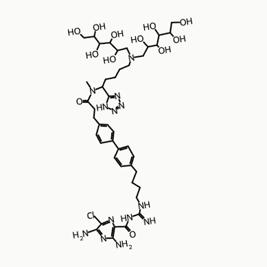 CN(C(=O)CCc1ccc(-c2ccc(CCCCNC(=N)NC(=O)c3nc(Cl)c(N)nc3N)cc2)cc1)C(CCCCN(CC(O)C(O)C(O)C(O)CO)CC(O)C(O)C(O)C(O)CO)c1nnn[nH]1